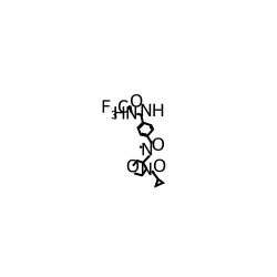 CN(CC1COCCN1C(=O)C1CC1)C(=O)c1ccc(C(=N)NC(=O)C(F)(F)F)cc1